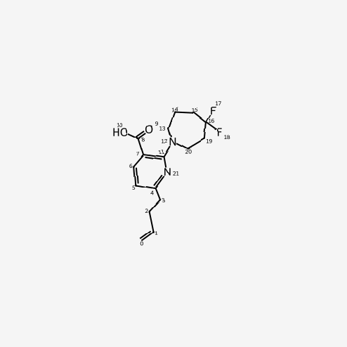 C=CCCc1ccc(C(=O)O)c(N2CCCC(F)(F)CC2)n1